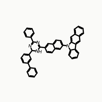 c1ccc(C2=NC(c3cccc(-c4ccccc4)c3)NC(c3ccc4cc(-n5c6ccccc6c6cc7ccccc7cc65)ccc4c3)=N2)cc1